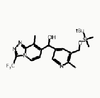 Cc1ncc(C(O)c2ccn3c(C(F)(F)F)nnc3c2C)cc1CO[Si](C)(C)C(C)(C)C